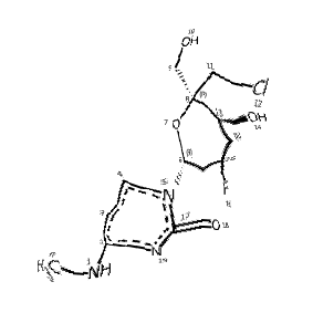 CNc1ccn([C@@H]2O[C@@](CO)(CCl)[C@@H](O)C2F)c(=O)n1